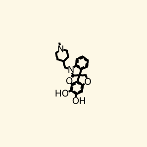 CN1CCC(CN2C(=O)C3(COc4cc(O)c(O)cc43)c3ccccc32)CC1